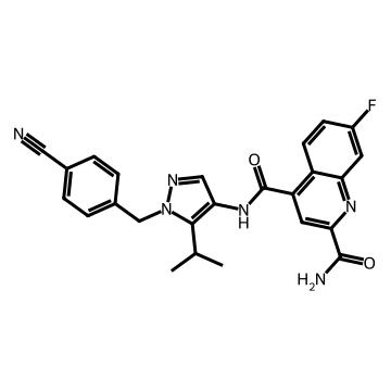 CC(C)c1c(NC(=O)c2cc(C(N)=O)nc3cc(F)ccc23)cnn1Cc1ccc(C#N)cc1